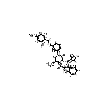 C[C@H]1CN(c2cccc(OCc3ccc(C#N)cc3F)n2)CCN1Cc1nc2cccnc2n1C[C@@H]1CCO1